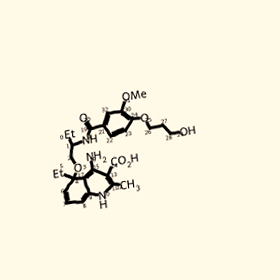 CCC(COC1(CC)C=CC=C2NC(C)=C(C(=O)O)C(N)=C21)NC(=O)c1ccc(OCCCO)c(OC)c1